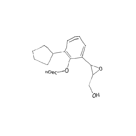 CCCCCCCCCCOc1c(C2CCCC2)cccc1C1OC1CO